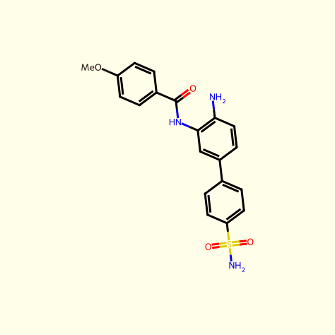 COc1ccc(C(=O)Nc2cc(-c3ccc(S(N)(=O)=O)cc3)ccc2N)cc1